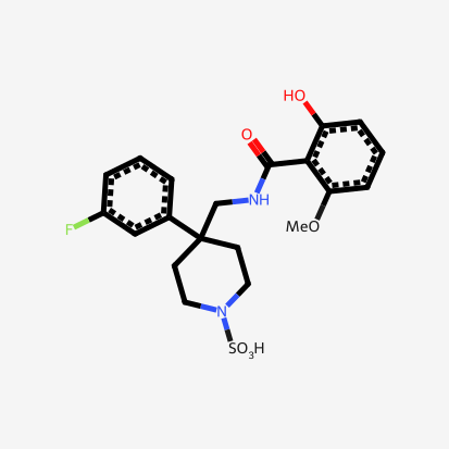 COc1cccc(O)c1C(=O)NCC1(c2cccc(F)c2)CCN(S(=O)(=O)O)CC1